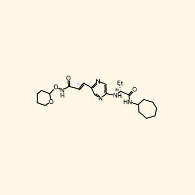 CC[C@@H](Nc1cnc(/C=C/C(=O)NOC2CCCCO2)cn1)C(=O)NC1CCCCCC1